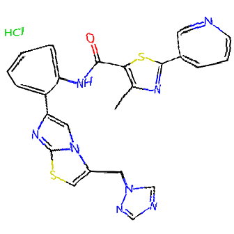 Cc1nc(-c2cccnc2)sc1C(=O)Nc1ccccc1-c1cn2c(Cn3cncn3)csc2n1.Cl